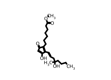 CCCCC(C)(O)C/C=C/C1=C(CCCCCCC(=O)OC)C(=O)C=C1O